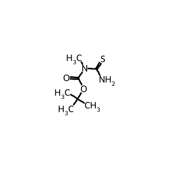 CN(C(=O)OC(C)(C)C)C(N)=S